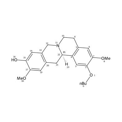 CCCCOc1cc2c(cc1OC)CCN1Cc3cc(O)c(OC)cc3C[C@H]21